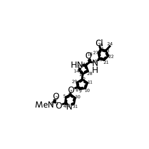 CNC(=O)Oc1cc(Oc2cccc(-c3c[nH]c(C(=O)Nc4ccc(C)c(Cl)c4)c3)c2)ccn1